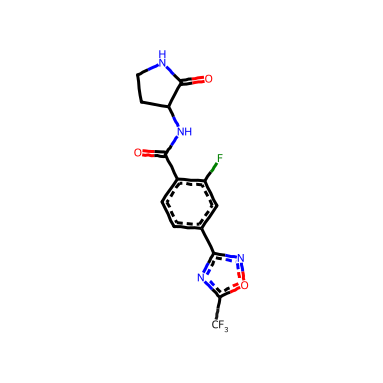 O=C(NC1CCNC1=O)c1ccc(-c2noc(C(F)(F)F)n2)cc1F